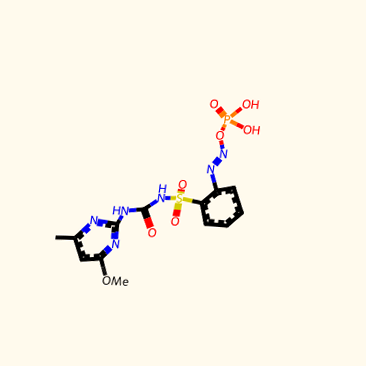 COc1cc(C)nc(NC(=O)NS(=O)(=O)c2ccccc2N=NOP(=O)(O)O)n1